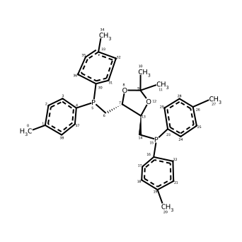 Cc1ccc(P(C[C@@H]2OC(C)(C)O[C@H]2CP(c2ccc(C)cc2)c2ccc(C)cc2)c2ccc(C)cc2)cc1